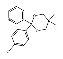 CC1(C)COC(c2ccc(Cl)cc2)(c2cccnc2)OC1